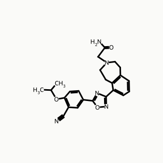 CC(C)Oc1ccc(-c2nc(-c3cccc4c3CCN(CC(N)=O)CC4)no2)cc1C#N